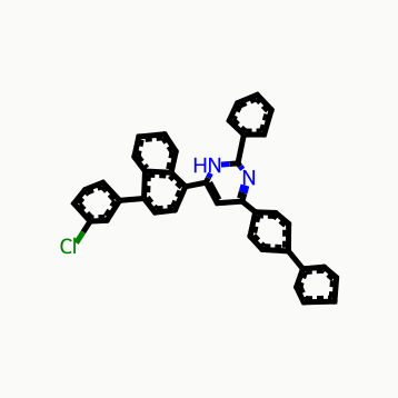 Clc1cccc(-c2ccc(C3=CC(c4ccc(-c5ccccc5)cc4)=NC(c4ccccc4)N3)c3ccccc23)c1